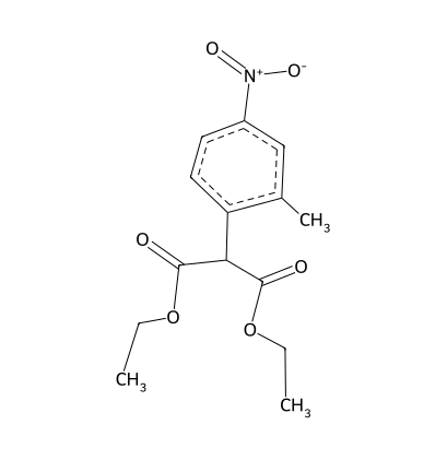 CCOC(=O)C(C(=O)OCC)c1ccc([N+](=O)[O-])cc1C